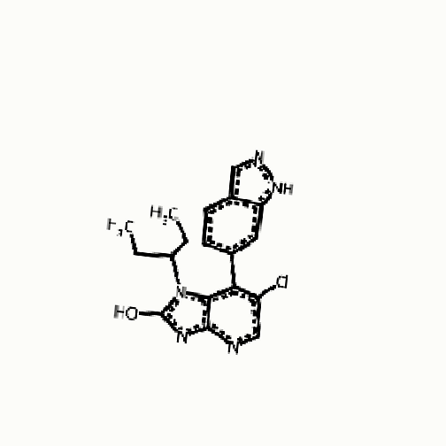 CCC(CC)n1c(O)nc2ncc(Cl)c(-c3ccc4cn[nH]c4c3)c21